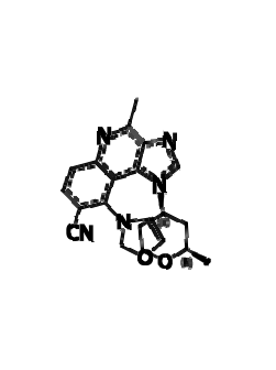 Cc1nc2ccc(C#N)c(N3C=COC3)c2c2c1ncn2[C@@H]1CCO[C@H](C)C1